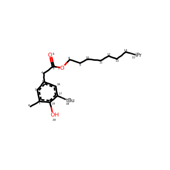 Cc1cc(CC(=O)OCCCCCCCC(C)C)cc(C(C)(C)C)c1O